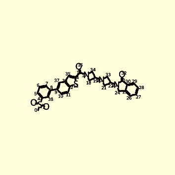 CS(=O)(=O)c1cccc(-c2ccc3sc(C(=O)N4CC(N5CC(N6Cc7ccccc7C6=O)C5)C4)cc3c2)c1